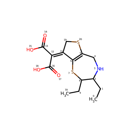 CCC1NCC2=C(SC1CC)C(=C(C(=O)O)C(=O)O)CS2